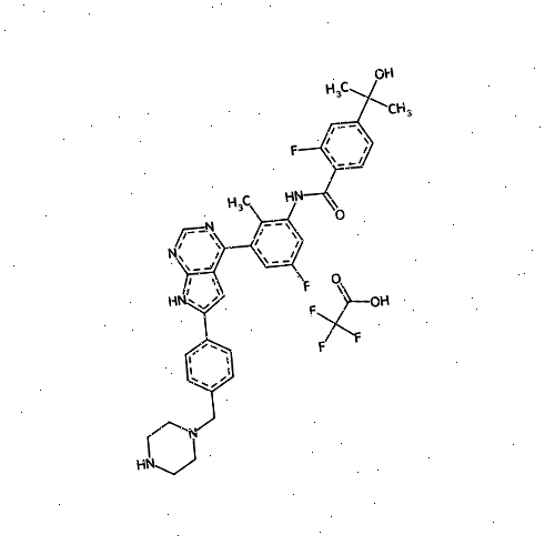 Cc1c(NC(=O)c2ccc(C(C)(C)O)cc2F)cc(F)cc1-c1ncnc2[nH]c(-c3ccc(CN4CCNCC4)cc3)cc12.O=C(O)C(F)(F)F